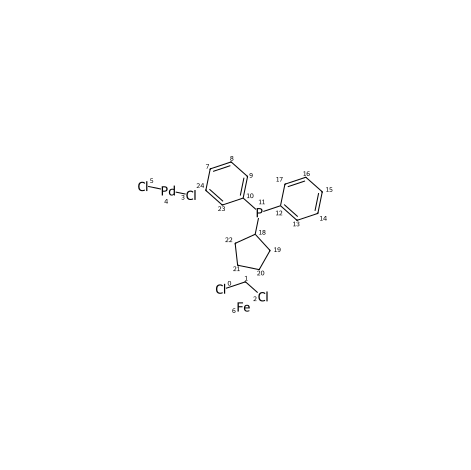 ClCCl.[Cl][Pd][Cl].[Fe].c1ccc(P(c2ccccc2)C2CCCC2)cc1